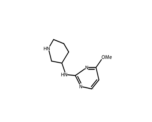 COc1c[c]nc(NC2CCCNC2)n1